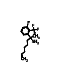 C=CCCCCC(C)(N)c1cccc(F)c1C(F)(F)F